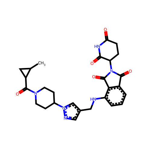 CC1CC1C(=O)N1CCC(n2cc(CNc3cccc4c3C(=O)N(C3CCC(=O)NC3=O)C4=O)cn2)CC1